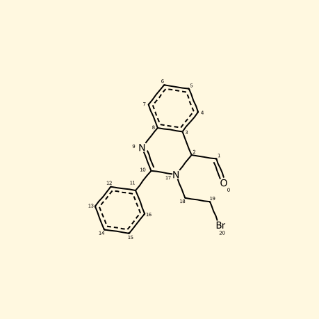 O=CC1c2ccccc2N=C(c2ccccc2)N1CCBr